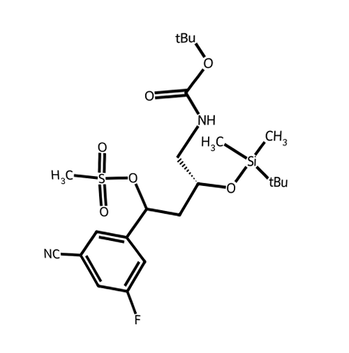 CC(C)(C)OC(=O)NC[C@@H](CC(OS(C)(=O)=O)c1cc(F)cc(C#N)c1)O[Si](C)(C)C(C)(C)C